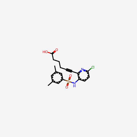 Cc1cc(C)cc(S(=O)(=O)Nc2ccc(Cl)nc2C#CCCCC(=O)O)c1